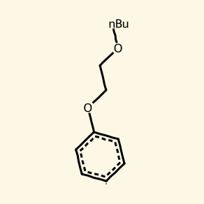 CCCCOCCOc1cc[c]cc1